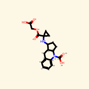 O=C(O)COC(=O)C1(NC2CCC3C2Cc2ccccc2N3C(=O)O)CC1